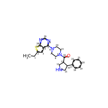 CCc1cc2c(N3CCN(C(=O)C4CNCC4c4ccccc4)CC3)ncnc2s1